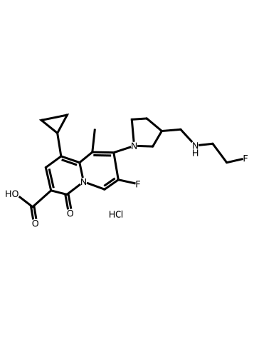 Cc1c(N2CCC(CNCCF)C2)c(F)cn2c(=O)c(C(=O)O)cc(C3CC3)c12.Cl